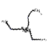 CCCCCCCC/C=C\CCCCCCCC(=O)OC(Br)(Br)C(Br)(OC(=O)CCCCCCC/C=C\CCCCCCCC)C(Br)(Br)OC(=O)C(Br)CCCCCC/C=C\CCCCCCCC